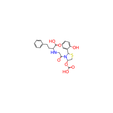 O=C(O)O[C@@H]1CSC(c2ccccc2O)N1C(=O)CNC(CCc1ccccc1)C(=O)O